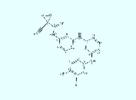 N#CC1(C(=O)Nc2cccc(Nc3cc(Nc4ccc(F)c(I)c4)ncn3)c2)CC1